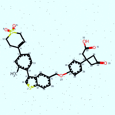 Cc1cc(C2=CCS(=O)(=O)CC2)ccc1-c1csc2ccc(COc3ccc(C4(CC(=O)O)CC(=O)C4)cc3)cc12